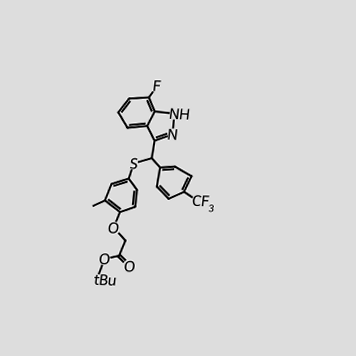 Cc1cc(SC(c2ccc(C(F)(F)F)cc2)c2n[nH]c3c(F)cccc23)ccc1OCC(=O)OC(C)(C)C